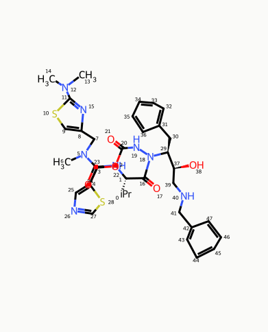 CC(C)[C@H](NC(=O)N(C)Cc1csc(N(C)C)n1)C(=O)N(NC(=O)OCc1cncs1)[C@@H](Cc1ccccc1)[C@@H](O)CNCc1ccccc1